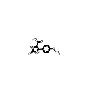 COc1ccc(-c2[nH]c(=O)[nH]c2C(=O)O)cc1